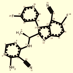 C[C@H](Nc1ncnc(N)c1C#N)c1nc2ccc(F)c(C#N)c2n1-c1cncc(F)c1